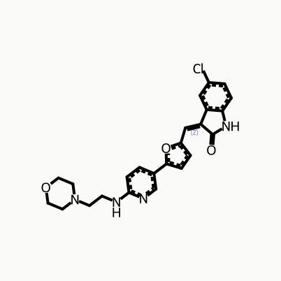 O=C1Nc2ccc(Cl)cc2/C1=C/c1ccc(-c2ccc(NCCN3CCOCC3)nc2)o1